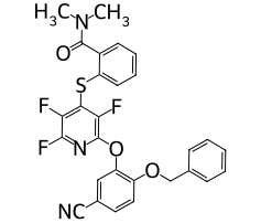 CN(C)C(=O)c1ccccc1Sc1c(F)c(F)nc(Oc2cc(C#N)ccc2OCc2ccccc2)c1F